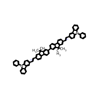 CC1(C)c2cc(/C=C/c3ccc4c(c3)c3ccccc3n4-c3ccccc3)ccc2-c2ccc(-c3ccc4c(c3)C(C)(C)c3cc(/C=C/c5ccc6c(c5)c5ccccc5n6-c5ccccc5)ccc3-4)cc21